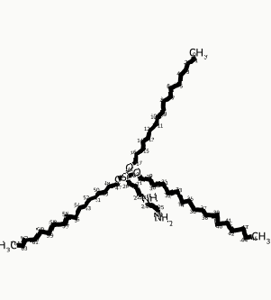 CCCCCCCCCCCCCCCCCCO[Si](CCCNCCN)(OCCCCCCCCCCCCCCCCCC)OCCCCCCCCCCCCCCCCCC